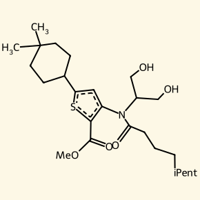 CCCC(C)CCCC(=O)N(c1cc(C2CCC(C)(C)CC2)sc1C(=O)OC)C(CO)CO